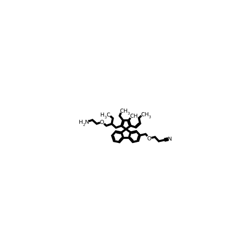 CC/C=C\C1=C(C)C(CC)=C(CC(CC)COCCN)C12c1ccccc1-c1ccc(COCCC#N)cc12